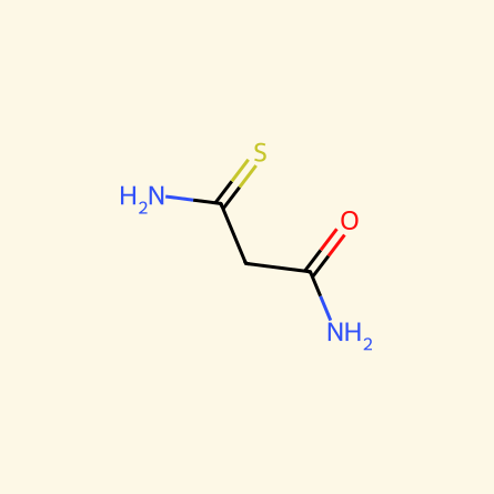 NC(=O)CC(N)=S